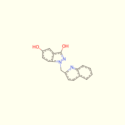 Oc1ccc2c(c1)c(O)nn2Cc1ccc2ccccc2n1